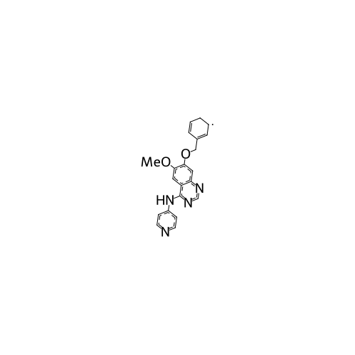 COc1cc2c(Nc3ccncc3)ncnc2cc1OCC1=C[CH]CC=C1